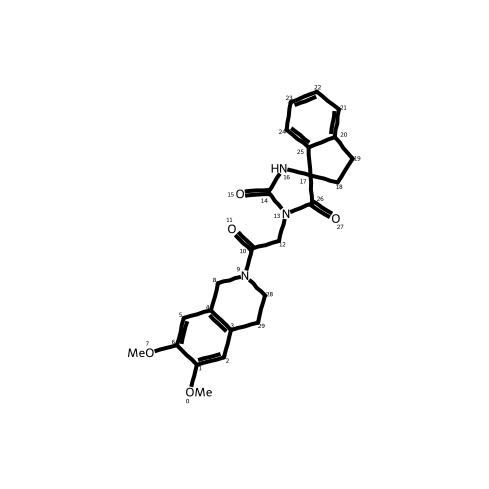 COc1cc2c(cc1OC)CN(C(=O)CN1C(=O)NC3(CCc4ccccc43)C1=O)CC2